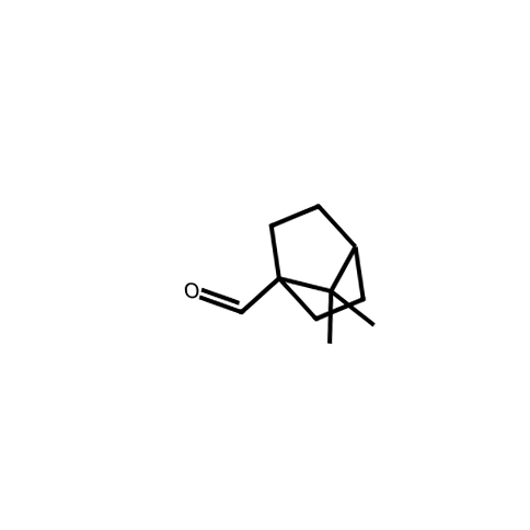 CC1(C)C2CCC1(C=O)CC2